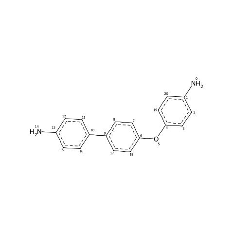 Nc1ccc(Oc2ccc(-c3ccc(N)cc3)cc2)cc1